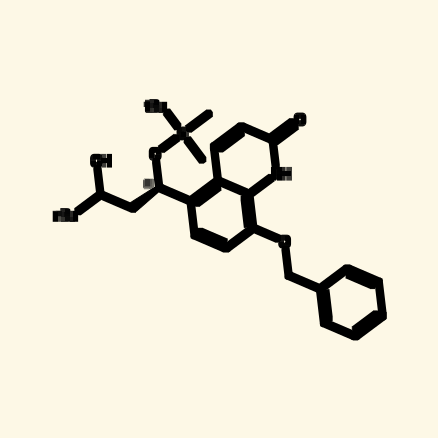 [CH2]CCCC(O)C[C@@H](O[Si](C)(C)C(C)(C)C)c1ccc(OCc2ccccc2)c2[nH]c(=O)ccc12